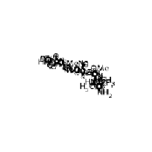 CNC(=O)C(CC1(COc2cc3c(N[C@H](C)c4cc(N)cc(C(F)(F)F)c4)nc(C)nc3cc2OC)CC1)N1CCC(CN2CCN(c3ccc4c(c3)C(=O)N(C3CCC(=O)NC3=O)C4=O)CC2)CC1